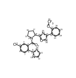 O=C(c1cc(Cl)ccc1-n1nccn1)N1CCCC1c1nc(-c2ccccc2OC(F)(F)F)no1